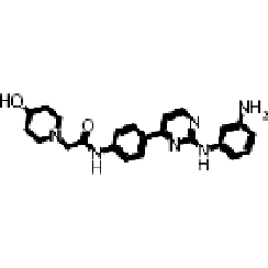 Nc1cccc(Nc2nccc(-c3ccc(NC(=O)CN4CCC(O)CC4)cc3)n2)c1